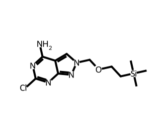 C[Si](C)(C)CCOCn1cc2c(N)nc(Cl)nc2n1